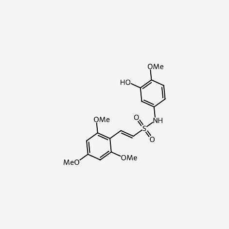 COc1cc(OC)c(/C=C/S(=O)(=O)Nc2ccc(OC)c(O)c2)c(OC)c1